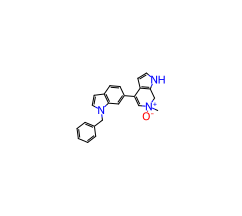 C[N+]1([O-])C=C(c2ccc3ccn(Cc4ccccc4)c3c2)c2cc[nH]c2C1